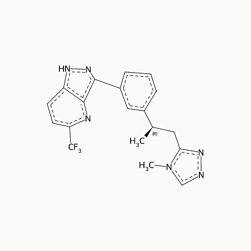 C[C@H](Cc1nncn1C)c1cccc(-c2n[nH]c3ccc(C(F)(F)F)nc23)c1